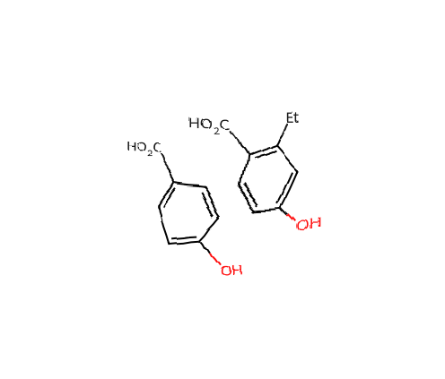 CCc1cc(O)ccc1C(=O)O.O=C(O)c1ccc(O)cc1